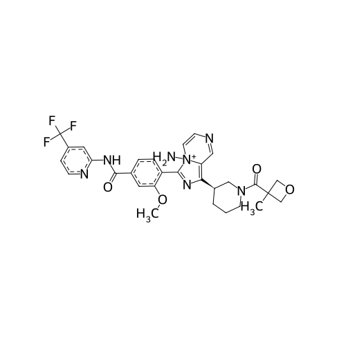 COc1cc(C(=O)Nc2cc(C(F)(F)F)ccn2)ccc1C1=NC([C@@H]2CCCN(C(=O)C3(C)COC3)C2)=C2C=NC=C[N+]12N